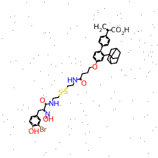 C=C(C(=O)O)c1ccc(-c2ccc(OCCCC(=O)NCCSSCCNC(=O)C(Cc3ccc(O)c(Br)c3)=NO)cc2C23CC4CC(CC(C4)C2)C3)cc1